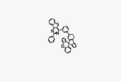 C1=C(c2cccc(-c3nc(-c4ccccc4)nc4c3sc3ccccc34)c2)CCC2=C1C1(c3ccccc3Oc3ccccc31)c1ccccc12